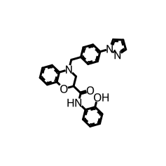 O=C(Nc1ccccc1O)C1CN(Cc2ccc(-n3cccn3)cc2)c2ccccc2O1